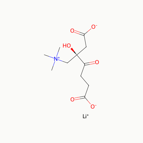 C[N+](C)(C)C[C@](O)(CC(=O)[O-])C(=O)CCC(=O)[O-].[Li+]